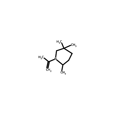 C=C(C)N1CC(C)(C)CCC1C